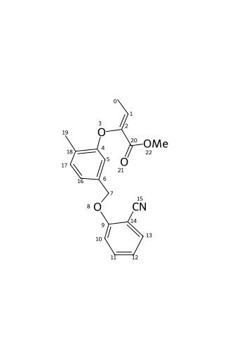 C/C=C(\Oc1cc(COc2ccccc2C#N)ccc1C)C(=O)OC